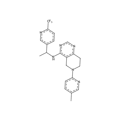 Cc1ccc(N2CCc3ncnc(NC(C)c4ccc(C(F)(F)F)nc4)c3C2)nc1